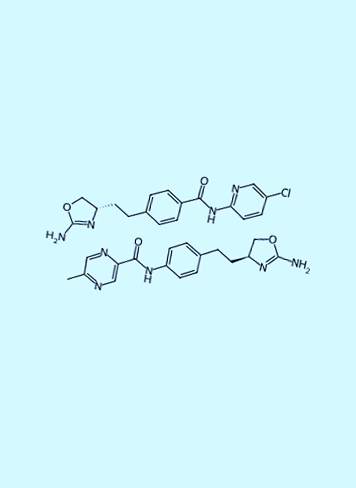 Cc1cnc(C(=O)Nc2ccc(CC[C@H]3COC(N)=N3)cc2)cn1.NC1=N[C@@H](CCc2ccc(C(=O)Nc3ccc(Cl)cn3)cc2)CO1